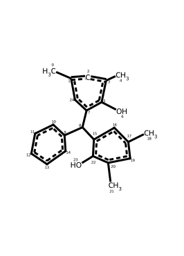 Cc1cc(C)c(O)c(C(c2ccccc2)c2cc(C)cc(C)c2O)c1